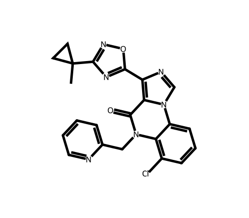 CC1(c2noc(-c3ncn4c3c(=O)n(Cc3ccccn3)c3c(Cl)cccc34)n2)CC1